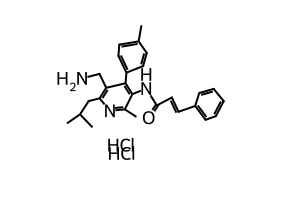 Cc1ccc(-c2c(CN)c(CC(C)C)nc(C)c2NC(=O)C=Cc2ccccc2)cc1.Cl.Cl